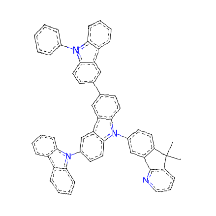 CC1(C)c2ccc(-n3c4ccc(-c5ccc6c(c5)c5ccccc5n6-c5ccccc5)cc4c4cc(-n5c6ccccc6c6ccccc65)ccc43)cc2-c2ncccc21